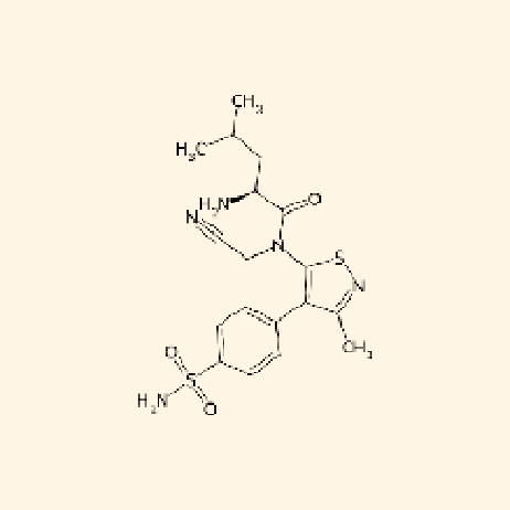 Cc1nsc(N(CC#N)C(=O)[C@@H](N)CC(C)C)c1-c1ccc(S(N)(=O)=O)cc1